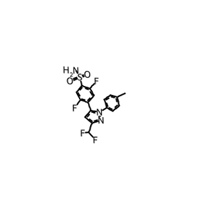 Cc1ccc(-n2nc(C(F)F)cc2-c2cc(F)c(S(N)(=O)=O)cc2F)cc1